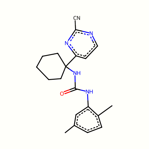 Cc1ccc(C)c(NC(=O)NC2(c3ccnc(C#N)n3)CCCCC2)c1